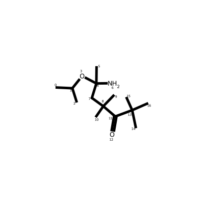 CC(C)OC(C)(N)CC(C)(C)C(=O)C(C)(C)C